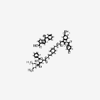 CCCN(CCC)C(=O)C(CCC(=O)OCCCN1CCN(CCOC(=O)Cc2c(C)n(C(=O)c3ccc(Cl)cc3)c3ccc(OC)cc23)CC1)NC(=O)c1ccccc1.O=C(c1ccccc1)c1ccc2n1CCC2C(=O)O